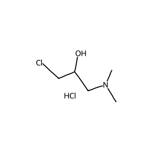 CN(C)CC(O)CCl.Cl